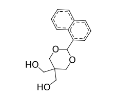 OCC1(CO)COC(c2cccc3ccccc23)OC1